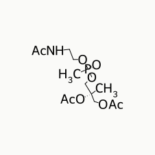 CC(=O)NCCOP(C)(=O)OC[C@@](C)(COC(C)=O)OC(C)=O